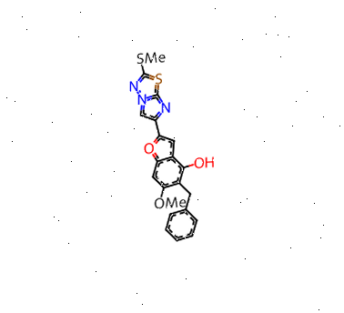 COc1cc2oc(-c3cn4nc(SC)sc4n3)cc2c(O)c1Cc1ccccc1